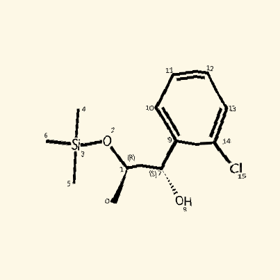 C[C@@H](O[Si](C)(C)C)[C@@H](O)c1ccccc1Cl